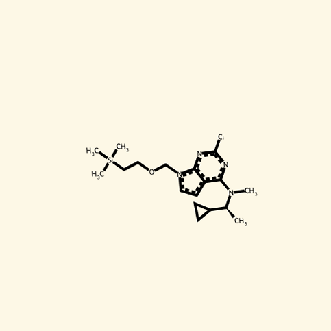 C[C@@H](C1CC1)N(C)c1nc(Cl)nc2c1ccn2COCC[Si](C)(C)C